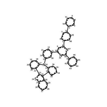 c1ccc(-c2ccc(-c3cc(-c4cccc(N5c6ccccc6-c6sc7ccccc7c6-c6ccccc65)c4)nc(-c4ccccc4)n3)cc2)cc1